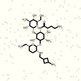 NCC[C@H](O)C(=O)N[C@@H]1C[C@H](N)C(O[C@H]2O[C@H](CN)CC[C@H]2NCC2CC(N)C2)[C@H](O)[C@H]1O[C@H]1O[C@H](CO)[C@@H](O)[C@H](N)[C@H]1O